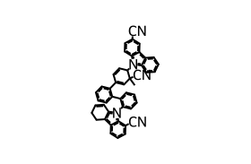 CC1(C#N)C=C(c2ccccc2-c2ccccc2-n2c3c(c4cccc(C#N)c42)CCC=C3)C=CC1n1c2ccccc2c2cc(C#N)ccc21